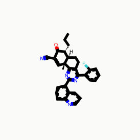 CCC[C@H]1C(=O)C(C#N)=C[C@@]2(C)c3nc(-c4cccc5ncccc45)nc(-c4ccccc4F)c3CC[C@H]12